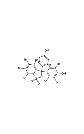 O=S1(=O)OC(c2ccc(O)cc2)(c2c(Br)c(Br)c(O)c(Br)c2Br)c2c(Br)c(Br)c(Br)c(Br)c21